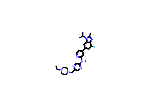 CCN1CCN(Cc2cnc(Nc3cc(-c4cc(F)c5nc(C)n(C(C)C)c5c4)ccn3)cn2)CC1